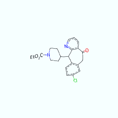 CCOC(=O)N1CCC(C2c3ccc(Cl)cc3CC(=O)c3cccnc32)CC1